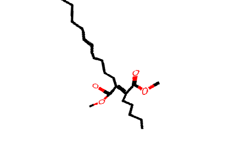 CCCCCCCCCCC(C(=O)OC)=C(CCCCC)C(=O)OC